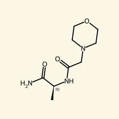 C[C@H](NC(=O)CN1CCOCC1)C(N)=O